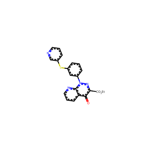 CCOC(=O)c1nn(-c2cccc(Sc3cccnc3)c2)c2ncccc2c1=O